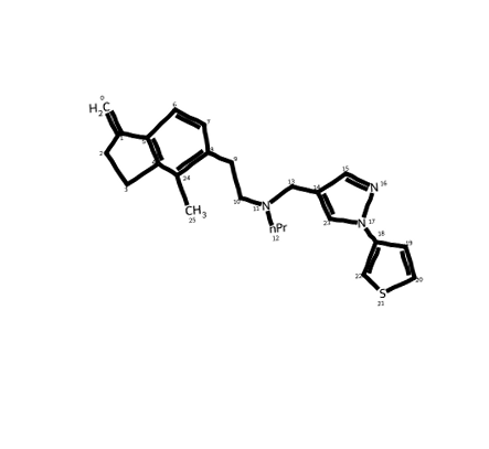 C=C1CCc2c1ccc(CCN(CCC)Cc1cnn(-c3ccsc3)c1)c2C